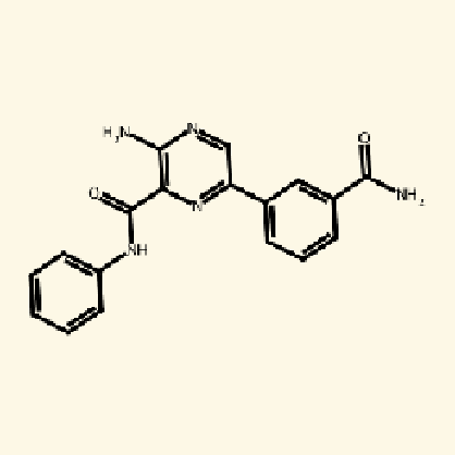 NC(=O)c1cccc(-c2cnc(N)c(C(=O)Nc3ccccc3)n2)c1